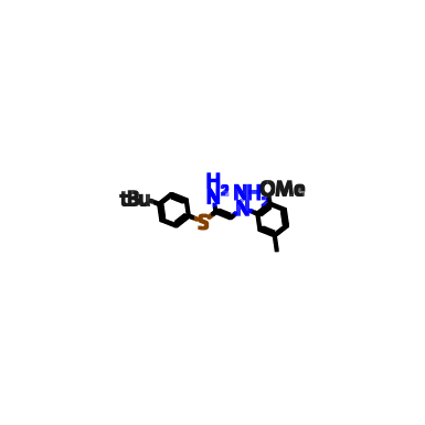 COc1ccc(C)cc1N(N)/C=C(\N)Sc1ccc(C(C)(C)C)cc1